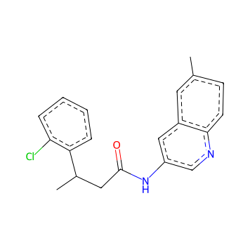 Cc1ccc2ncc(NC(=O)CC(C)c3ccccc3Cl)cc2c1